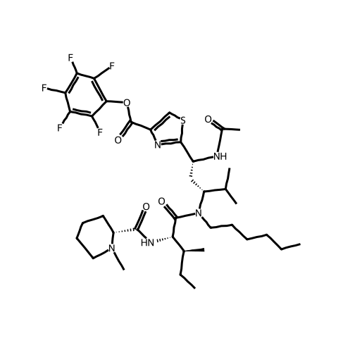 CCCCCCN(C(=O)[C@@H](NC(=O)[C@H]1CCCCN1C)[C@@H](C)CC)[C@H](C[C@@H](NC(C)=O)c1nc(C(=O)Oc2c(F)c(F)c(F)c(F)c2F)cs1)C(C)C